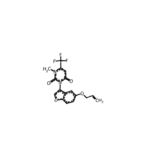 C=CCOc1ccc2occ(-n3c(=O)cc(C(F)(F)F)n(C)c3=O)c2c1